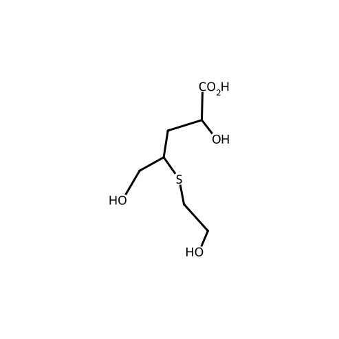 O=C(O)C(O)CC(CO)SCCO